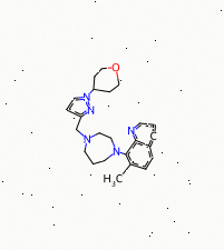 Cc1ccc2cccnc2c1N1CCCN(Cc2ccn(C3CCOCC3)n2)CC1